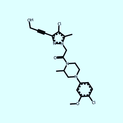 COc1cc(N2CCN(C(=O)Cn3nc(C#CCO)c(Cl)c3C)C(C)C2)ccc1Cl